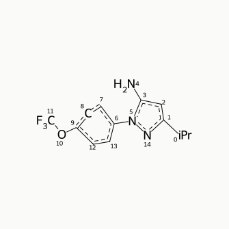 CC(C)c1cc(N)n(-c2ccc(OC(F)(F)F)cc2)n1